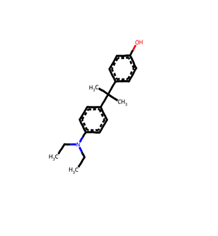 CCN(CC)c1ccc(C(C)(C)c2ccc(O)cc2)cc1